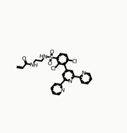 C=CC(=O)NCCNS(=O)(=O)c1ccc(Cl)c(-c2cc(-c3ccccn3)nc(-c3ccccn3)c2)c1Cl